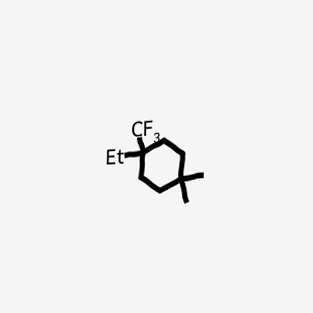 CCC1(C(F)(F)F)CCC(C)(C)CC1